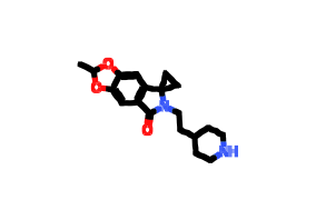 CC1Oc2cc3c(cc2O1)C1(CC1)N(CCC1CCNCC1)C3=O